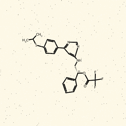 CC(C)Sc1ccc(-c2cc(NC[C@H](OC(=O)C(F)(F)F)c3ccccc3)ncn2)cc1